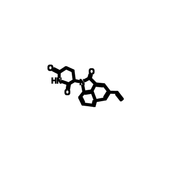 C=Cc1cc2c3c(cccc3c1)N(C1CCC(=O)NC1=O)C2=O